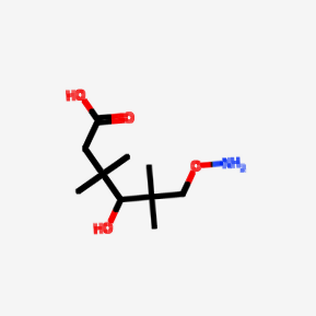 CC(C)(CON)C(O)C(C)(C)CC(=O)O